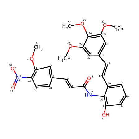 COc1cc(/C=C/C(=O)Nc2c(O)cccc2C=Cc2cc(OC)c(OC)c(OC)c2)ccc1[N+](=O)[O-]